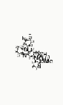 COc1ncccc1N1c2cc3c(cc2=NC1(C)C)N(c1ccc(F)c(F)c1)c1ccccc1N=3